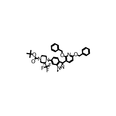 Cn1nc(-c2ccc(OCc3ccccc3)nc2OCc2ccccc2)c2ccc(N3CCN(C(=O)OC(C)(C)C)C[C@@H]3C(F)(F)F)cc21